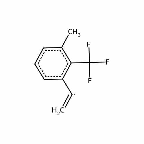 C=[C]c1cccc(C)c1C(F)(F)F